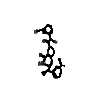 C=C(C)c1cccc(C2(c3nc4c(c(=O)[nH]3)CN(C(=O)[C@H](O)c3cccc(Cl)c3)CCC4)CC2)c1